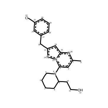 Cc1cc(N2CCCCC2CCO)n2nc(Cc3cccc(Cl)c3)cc2n1